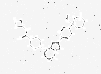 CO[C@]1(C2C=NC(c3cc4c(N5CCN(C(=O)OC6COC6)CC5)ccnn4c3)=CC2)CCCNC1